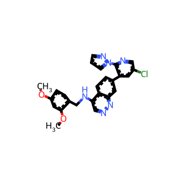 COc1ccc(CNc2cnnc3cc(-c4cc(Cl)cnc4-n4cccn4)ccc23)c(OC)c1